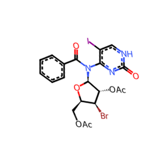 CC(=O)OC[C@H]1O[C@@H](N(C(=O)c2ccccc2)c2nc(=O)[nH]cc2I)[C@H](OC(C)=O)[C@H]1Br